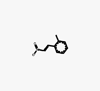 Cc1ccccc1C=C[N+](=O)[O-]